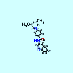 CC1CC(C)CN(c2ccc(C(=O)Nc3cnc4ccccc4c3)cc2)C1